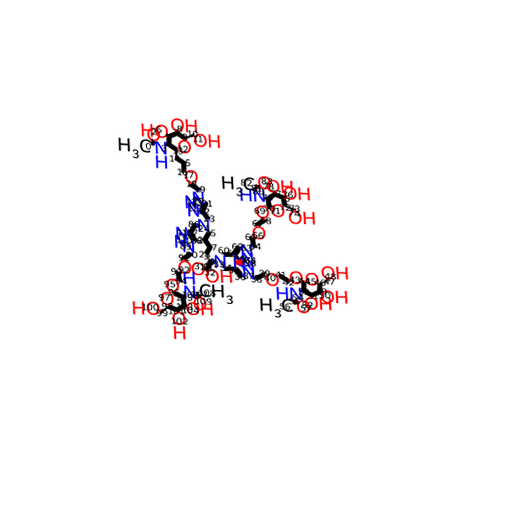 CC(=O)N[C@@H]1[C@@H](O)[C@@H](O)[C@@H](CO)O[C@H]1CCCOCCn1cc(CN(CCCC[C@@H](C(=O)O)N(Cc2cn(CCOCCO[C@@H]3O[C@H](CO)[C@H](O)[C@H](O)[C@H]3NC(C)=O)nn2)Cc2cn(CCOCCO[C@@H]3O[C@H](CO)[C@H](O)[C@H](O)[C@H]3NC(C)=O)nn2)Cc2cn(CCOCCO[C@@H]3O[C@H](CO)[C@H](O)[C@H](O)[C@H]3NC(C)=O)nn2)nn1